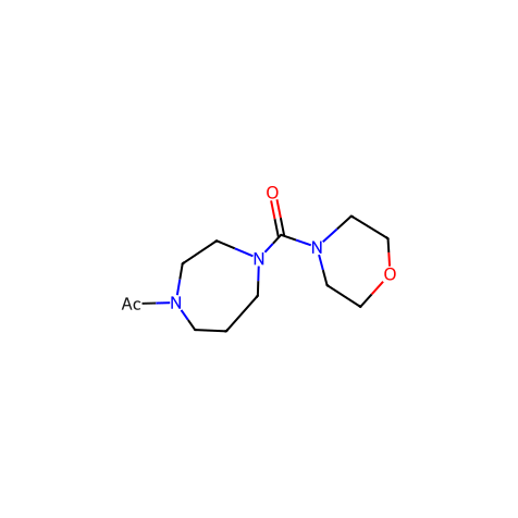 CC(=O)N1CCCN(C(=O)N2CCOCC2)CC1